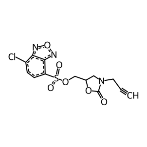 C#CCN1CC(COS(=O)(=O)c2ccc(Cl)c3nonc23)OC1=O